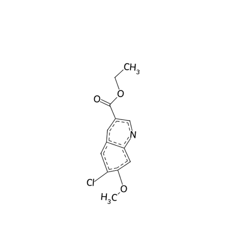 CCOC(=O)c1cnc2cc(OC)c(Cl)cc2c1